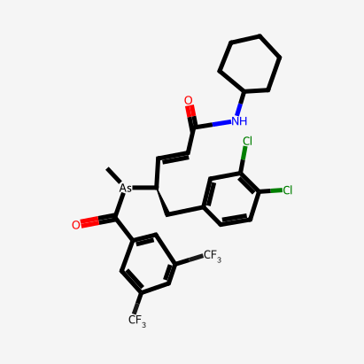 C[As](C(=O)c1cc(C(F)(F)F)cc(C(F)(F)F)c1)[C@@H](C=CC(=O)NC1CCCCC1)Cc1ccc(Cl)c(Cl)c1